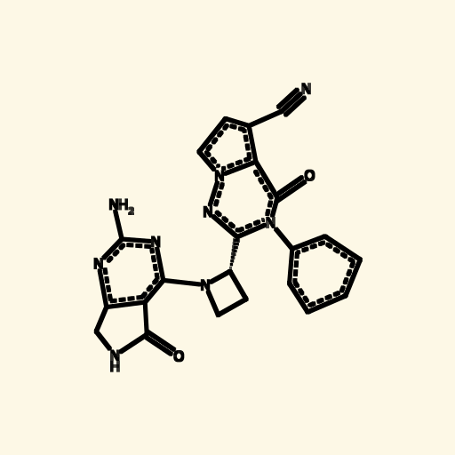 N#Cc1ccn2nc([C@@H]3CCN3c3nc(N)nc4c3C(=O)NC4)n(-c3ccccc3)c(=O)c12